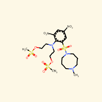 CN1CCCN(S(=O)(=O)c2cc([N+](=O)[O-])cc([N+](=O)[O-])c2N(CCOS(C)(=O)=O)CCOS(C)(=O)=O)CCC1